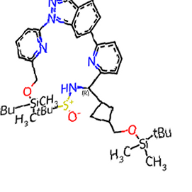 CC(C)(C)[S+]([O-])N[C@@H](c1cccc(-c2ccc3cnn(-c4cccc(CO[Si](C)(C)C(C)(C)C)n4)c3c2)n1)C1CC(CO[Si](C)(C)C(C)(C)C)C1